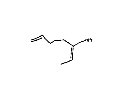 C=CCCC(=CC)CCC